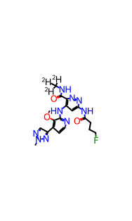 [2H]C([2H])([2H])NC(=O)c1nnc(NC(=O)CCCF)cc1Nc1nccc(-c2cnn(C)n2)c1OC